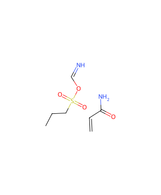 C=CC(N)=O.CCCS(=O)(=O)OC=N